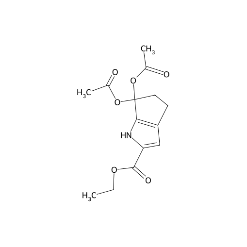 CCOC(=O)c1cc2c([nH]1)C(OC(C)=O)(OC(C)=O)CC2